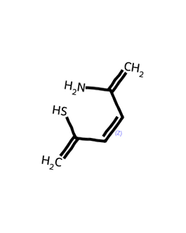 C=C(N)/C=C\C(=C)S